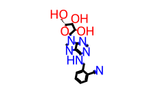 N#Cc1ccccc1CNc1ncnc2c1ncn2C1O[C@H](CO)[C@@H](O)[C@H]1O